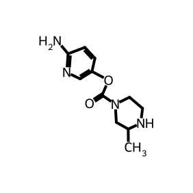 CC1CN(C(=O)Oc2ccc(N)nc2)CCN1